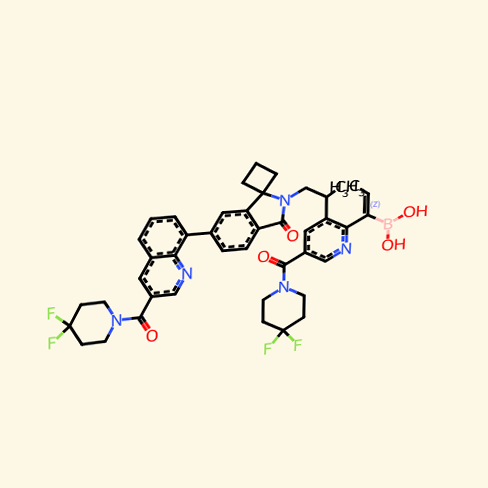 C/C=C(/B(O)O)c1ncc(C(=O)N2CCC(F)(F)CC2)cc1C(C)CN1C(=O)c2ccc(-c3cccc4cc(C(=O)N5CCC(F)(F)CC5)cnc34)cc2C12CCC2